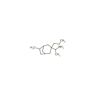 CCCC1(C(C)N)CC2CC(C)C(C2)C1